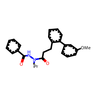 COc1cccc(-c2ccccc2CCC(=O)N(NC(=O)c2ccccc2)C(C)C)c1